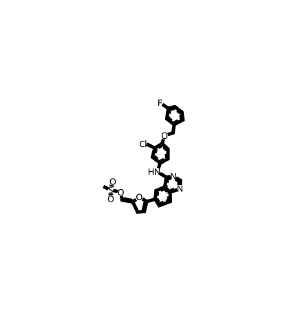 CS(=O)(=O)OC=C1CC=C(c2ccc3ncnc(Nc4ccc(OCc5cccc(F)c5)c(Cl)c4)c3c2)O1